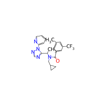 Cc1cc(C(=O)N(CC2CC2)C(C)c2ncnn2-c2ccccn2)cc(C(F)(F)F)c1